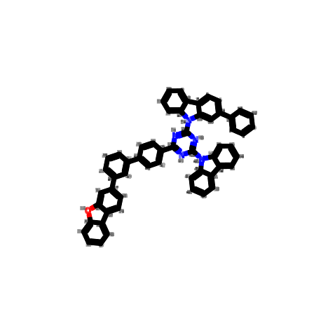 c1ccc(-c2ccc3c4ccccc4n(-c4nc(-c5ccc(-c6cccc(-c7ccc8c(c7)oc7ccccc78)c6)cc5)nc(-n5c6ccccc6c6ccccc65)n4)c3c2)cc1